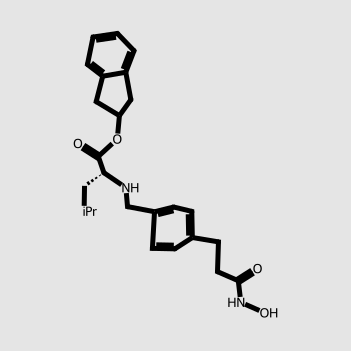 CC(C)C[C@@H](NCc1ccc(CCC(=O)NO)cc1)C(=O)OC1Cc2ccccc2C1